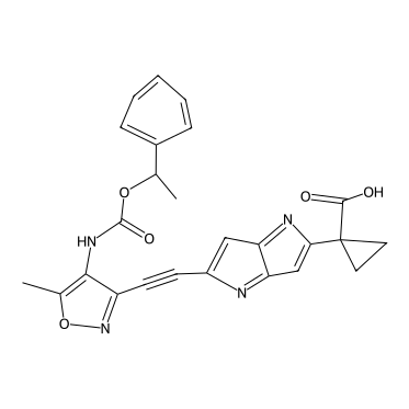 Cc1onc(C#CC2=CC3=NC(C4(C(=O)O)CC4)=CC3=N2)c1NC(=O)OC(C)c1ccccc1